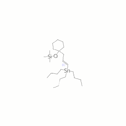 CCC[CH2][Sn](/[CH]=C/CC1(O[Si](C)(C)C)CCCCC1)([CH2]CCC)[CH2]CCC